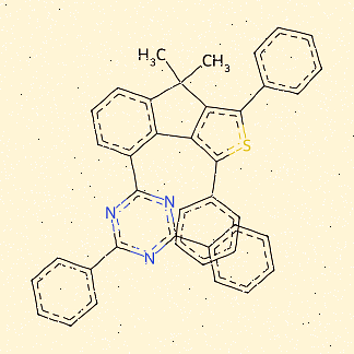 CC1(C)c2cccc(-c3nc(-c4ccccc4)nc(-c4ccccc4)n3)c2-c2c(-c3ccccc3)sc(-c3ccccc3)c21